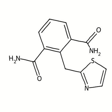 NC(=O)c1cccc(C(N)=O)c1Cc1nccs1